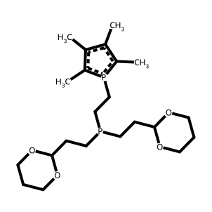 Cc1c(C)c(C)p(CCP(CCC2OCCCO2)CCC2OCCCO2)c1C